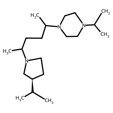 CC(C)[C@@H]1CCN(C(C)CCC(C)N2CCN(C(C)C)CC2)C1